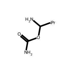 CC(C)C(N)OC(N)=O